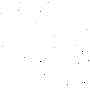 OC(COc1cccc2nccc(Br)c12)CN1CCN(C(c2ccccc2)c2ccccc2)CC1